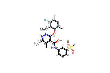 COc1c(F)c(C)cc(C)c1Oc1nnc(C(F)(F)F)c(C)c1C(=O)Nc1cccc(S(C)(=O)=O)c1